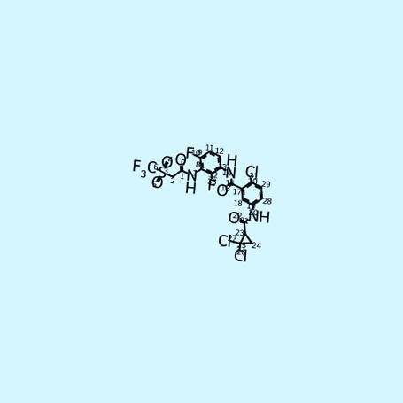 O=C(CS(=O)(=O)C(F)(F)F)Nc1c(F)ccc(NC(=O)c2cc(NC(=O)C3CC3(Cl)Cl)ccc2Cl)c1F